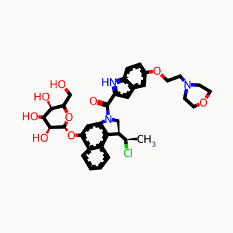 C[C@@H](Cl)[C@@H]1CN(C(=O)c2cc3cc(OCCN4CCOCC4)ccc3[nH]2)c2cc(O[C@@H]3OC(CO)[C@H](O)C(O)[C@@H]3O)c3ccccc3c21